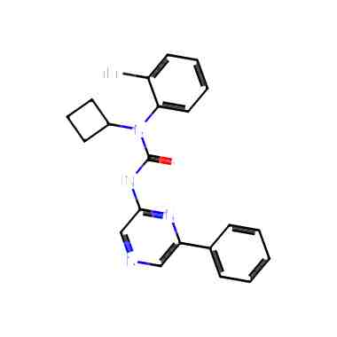 CC(C)c1ccccc1N(C(=O)Nc1cncc(-c2ccccc2)n1)C1CCC1